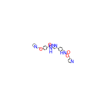 O=C(NCc1ccc(-c2cc(NC(=O)c3ccc(OCCN4CCCC4)cc3)[nH]n2)cc1)OCc1cccnc1